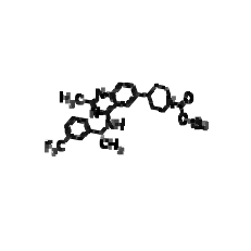 Cc1nc(N[C@H](C)c2cccc(C(F)(F)F)c2)c2cc(C3CCN(C(=O)OC(C)(C)C)CC3)ccc2n1